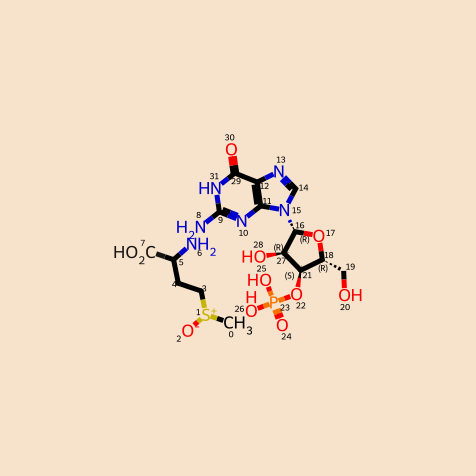 C[S+]([O-])CCC(N)C(=O)O.Nc1nc2c(ncn2[C@@H]2O[C@H](CO)[C@@H](OP(=O)(O)O)[C@H]2O)c(=O)[nH]1